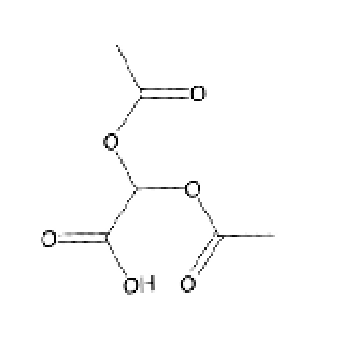 CC(=O)OC(OC(C)=O)C(=O)O